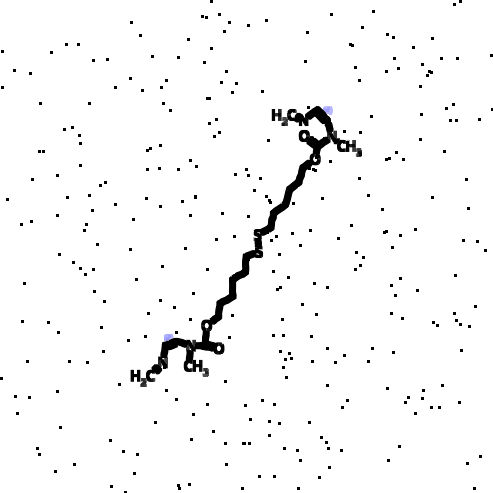 C=N/C=C\N(C)C(=O)OCCCCCCSSCCCCCCOC(=O)N(C)/C=C\N=C